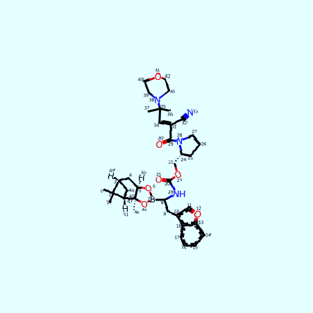 CC1(C)[C@@H]2C[C@H]3OB(C(Cc4coc5ccccc45)NC(=O)OC[C@H]4CCCN4C(=O)C(C#N)=CC(C)(C)N4CCOCC4)O[C@@]3(C)[C@H]1C2